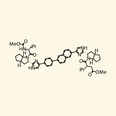 COC(=O)C[C@H](C(=O)N1[C@H](c2nc(-c3ccc4cc(-c5ccc(-c6c[nH]c([C@@H]7C[C@@H]8CCC[C@@H]8N7C(=O)[C@@H](NC(=O)OC)C(C)C)n6)cc5)ccc4c3)c[nH]2)C[C@@H]2CCC[C@@H]21)C(C)C